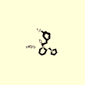 Cl.O.O=C(Cc1cccc(C(F)(F)F)c1)N1CCCC[C@H]1CN1CCCC1